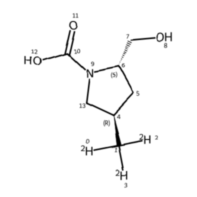 [2H]C([2H])([2H])[C@@H]1C[C@@H](CO)N(C(=O)O)C1